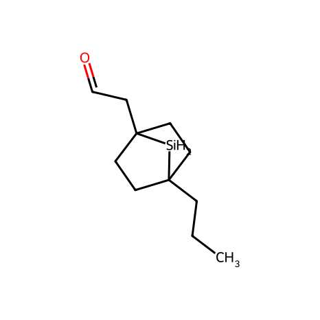 CCCC12CCC(CC=O)(CC1)[SiH2]2